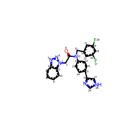 O=C(Cn1nnc2ccccc21)N(Cc1cc(F)cc(F)c1)c1ccc(-c2c[nH]cn2)cc1